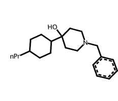 CCCC1CCC(C2(O)CCN(Cc3ccccc3)CC2)CC1